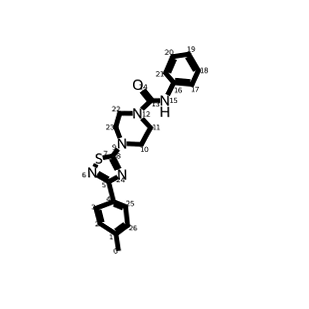 Cc1ccc(-c2nsc(N3CCN(C(=O)Nc4ccccc4)CC3)n2)cc1